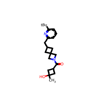 CC1(O)CC(C(=O)N2CC3(CC(Cc4cccc(C(C)(C)C)n4)C3)C2)C1